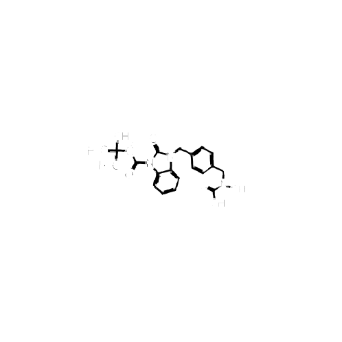 CC(=O)N(C)Cc1ccc(Cn2c(=O)n(C(=O)OC(C)(C)C)c3ccccc32)cc1